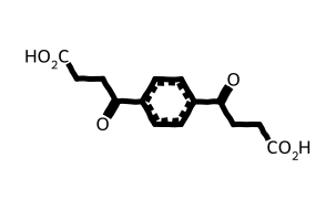 O=C(O)CCC(=O)c1ccc(C(=O)CCC(=O)O)cc1